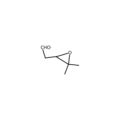 CC1(C)OC1C[C]=O